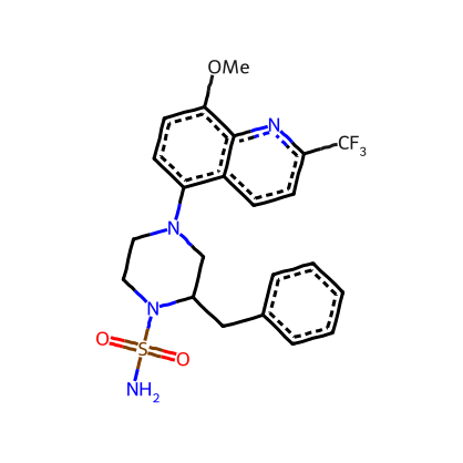 COc1ccc(N2CCN(S(N)(=O)=O)C(Cc3ccccc3)C2)c2ccc(C(F)(F)F)nc12